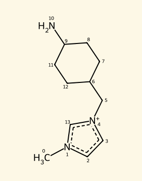 Cn1cc[n+](CC2CCC(N)CC2)c1